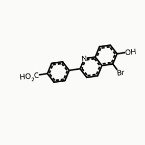 O=C(O)c1ccc(-c2ccc3c(Br)c(O)ccc3n2)cc1